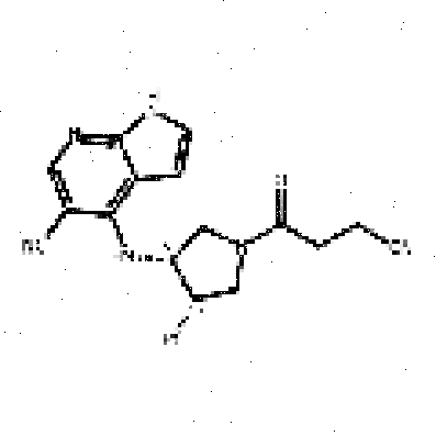 CC[C@H]1CN(C(=O)CCC#N)C[C@H]1Nc1c(C#N)cnc2[nH]ccc12